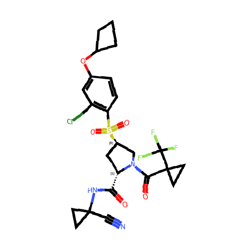 N#CC1(NC(=O)[C@@H]2C[C@@H](S(=O)(=O)c3ccc(OC4CCC4)cc3Cl)CN2C(=O)C2(C(F)(F)F)CC2)CC1